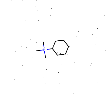 C[N+](C)(C)C1CC[CH]CC1